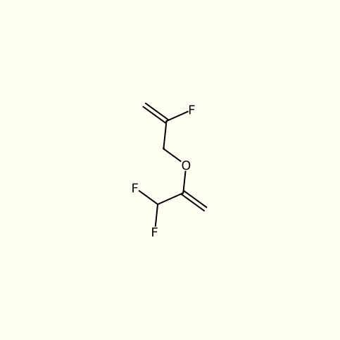 C=C(F)COC(=C)C(F)F